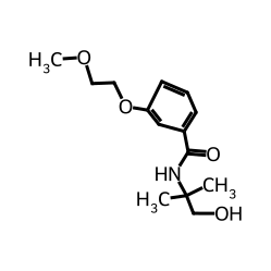 COCCOc1cccc(C(=O)NC(C)(C)CO)c1